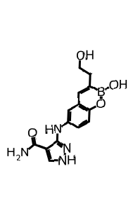 NC(=O)c1c[nH]nc1Nc1ccc2c(c1)C=C(CCO)B(O)O2